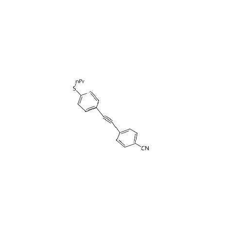 CCCSc1ccc(C#Cc2ccc(C#N)cc2)cc1